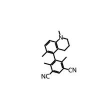 Cc1ccc2c(c1-c1c(C)c(C#N)cc(C#N)c1C)CCCN2C